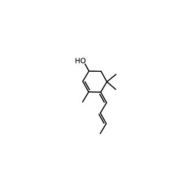 C/C=C/C=C1\C(C)=CC(O)CC1(C)C